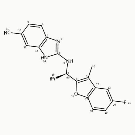 Cc1c([C@H](Nc2nc3ccc(C#N)cc3[nH]2)C(C)C)oc2ccc(F)cc12